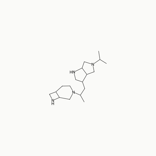 CC(C)N1CC2NCC(CC(C)N3CCC4CNC4C3)C2C1